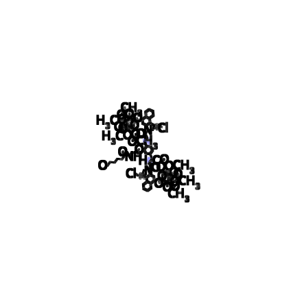 CC(=O)OC[C@H]1O[C@@H](Oc2cc3c(c4ccccc24)[C@H](CCl)CN3C(=O)/C=C/c2ccc(/C=C/C(=O)N3C[C@@H](CCl)c4c3cc(O[C@@H]3O[C@H](COC(C)=O)[C@H](OC(C)=O)[C@H](OC(C)=O)[C@H]3OC(C)=O)c3ccccc43)c(OCCNC(=O)CCCCC=O)c2)[C@H](OC(C)=O)[C@@H](OC(C)=O)[C@H]1OC(C)=O